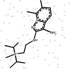 Cc1ccc2c(N)c(NCC[N+](C)(C(C)C)C(C)C)nn2c1C